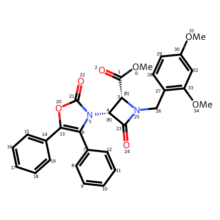 COC(=O)[C@H]1[C@@H](n2c(-c3ccccc3)c(-c3ccccc3)oc2=O)C(=O)N1Cc1ccc(OC)cc1OC